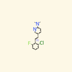 CN(C)c1ccc(/C=C/c2c(F)cccc2Cl)cn1